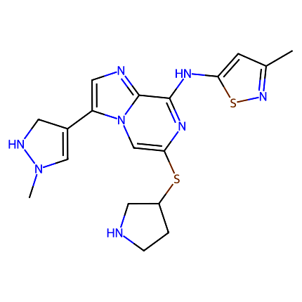 Cc1cc(Nc2nc(SC3CCNC3)cn3c(C4=CN(C)NC4)cnc23)sn1